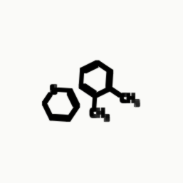 C1=CCSC=C1.Cc1ccccc1C